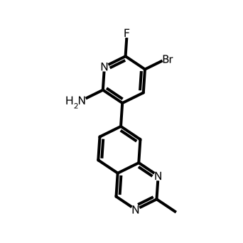 Cc1ncc2ccc(-c3cc(Br)c(F)nc3N)cc2n1